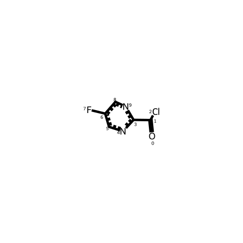 O=C(Cl)c1ncc(F)cn1